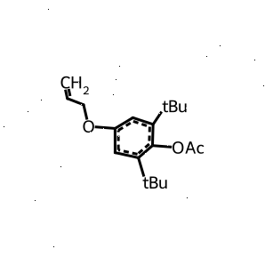 C=CCOc1cc(C(C)(C)C)c(OC(C)=O)c(C(C)(C)C)c1